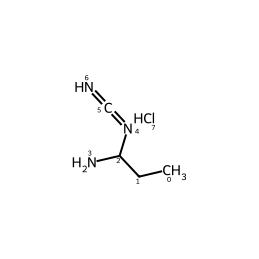 CCC(N)N=C=N.Cl